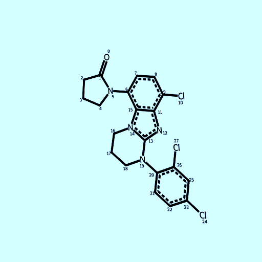 O=C1CCCN1c1ccc(Cl)c2nc3n(c12)CCCN3c1ccc(Cl)cc1Cl